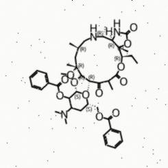 CC[C@H]1OC(=O)C(C)C(=O)[C@H](C)[C@@H](O[C@@H]2O[C@H](COC(=O)c3ccccc3)CC(N(C)C)C2OC(=O)c2ccccc2)[C@](C)(OC)C[C@@H](C)CN[C@H](C)[C@H]2NC(=O)O[C@@]21C